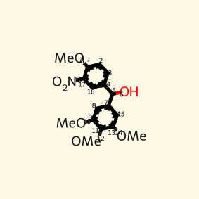 COc1ccc(C(O)c2cc(OC)c(OC)c(OC)c2)cc1[N+](=O)[O-]